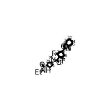 CCNC(=O)[C@H]1CC[C@@H](N(C)C(=O)c2c(F)cc(-c3nc4ccccc4o3)cc2F)C1